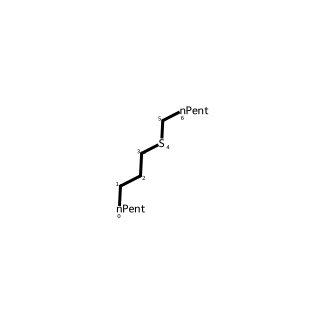 CCCCCCC[CH]SCCCCCC